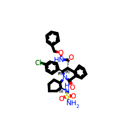 NS(=O)(=O)N[C@H]1CCCCC1N1C(=O)c2ccccc2[C@@H](C(=O)NOCc2ccccc2)[C@@H]1c1ccc(Cl)cc1